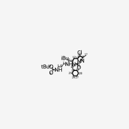 CCC(C)C(NCCCNC(=O)OC(C)(C)C)c1cc2c(Cl)c(C)nn2c(=O)n1Cc1ccccc1